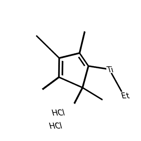 C[CH2][Ti][C]1=C(C)C(C)=C(C)C1(C)C.Cl.Cl